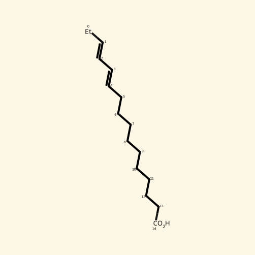 CCC=CC=CCCCCCCCCCC(=O)O